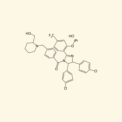 CC(C)Oc1cc(C(F)(F)F)ccc1C1=NC(c2ccc(Cl)cc2)C(c2ccc(Cl)cc2)N1C(=O)c1ccc(CN2CCCCC2CO)cc1.Cl